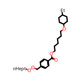 CCCCCCCOOCc1ccc(C(=O)OCCCCCCOC2CCC(CC)CC2)cc1